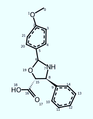 COc1ccc(C2N[C@@H](c3ccccc3)[C@H](C(=O)O)O2)cc1